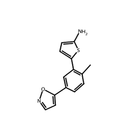 Cc1ccc(-c2ccno2)cc1-c1ccc(N)s1